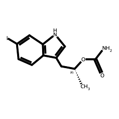 C[C@H](Cc1c[nH]c2cc(I)ccc12)OC(N)=O